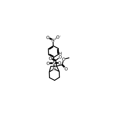 COC(=O)C1(C(=O)O)CC2CCCC1N2S(=O)(=O)c1ccc([N+](=O)[O-])cc1